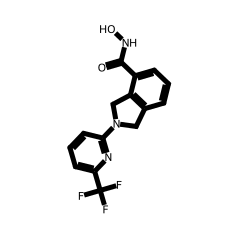 O=C(NO)c1cccc2c1CN(c1cccc(C(F)(F)F)n1)C2